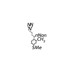 CCCCCCCCCC(CCCn1cnnc1)c1ccc(SC)cc1C